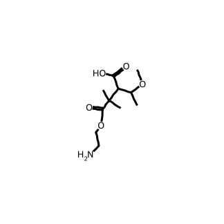 COC(C)C(C(=O)O)C(C)(C)C(=O)OCCN